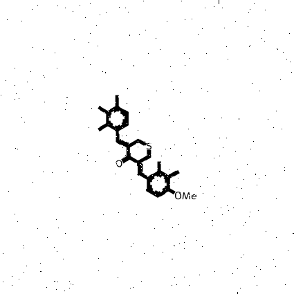 COc1ccc(/C=C2\CSC/C(=C\c3ccc(C)c(C)c3C)C2=O)c(C)c1C